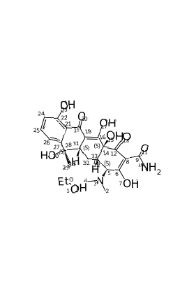 CCO.CN(C)[C@@H]1C(O)=C(C(N)=O)C(=O)[C@@]2(O)C(O)=C3C(=O)c4c(O)cccc4[C@@](C)(O)[C@H]3C[C@@H]12